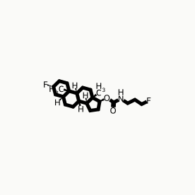 C[C@]12CC[C@@H](F)C[C@@H]1CC[C@@H]1[C@@H]2CC[C@]2(C)[C@@H](OC(=O)NCCCF)CC[C@@H]12